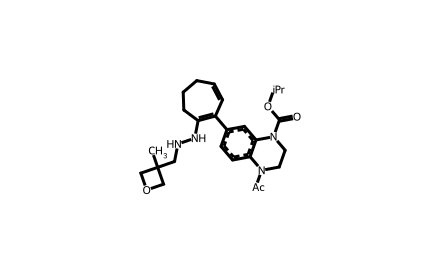 CC(=O)N1CCN(C(=O)OC(C)C)c2cc(C3=C(NNCC4(C)COC4)CCCC=C3)ccc21